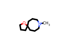 CN1CCCC2(CCCO2)CCC1